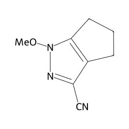 COn1nc(C#N)c2c1CCC2